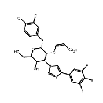 O=C(O)/C=C\O[C@@H]1[C@@H](n2cc(-c3cc(F)c(F)c(F)c3)nn2)[C@@H](O)[C@@H](CO)O[C@@H]1Cc1ccc(Cl)c(Cl)c1